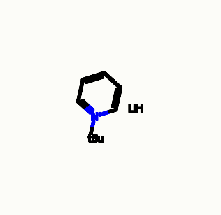 CC(C)(C)[n+]1ccccc1.[LiH]